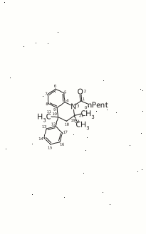 CCCCCC(=O)N1c2ccccc2C(C)(c2ccccc2)CC1(C)C